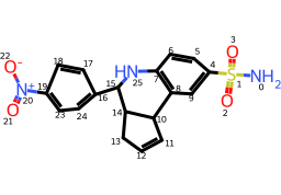 NS(=O)(=O)c1ccc2c(c1)C1C=CCC1C(c1ccc([N+](=O)[O-])cc1)N2